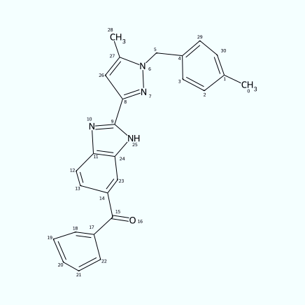 Cc1ccc(Cn2nc(-c3nc4ccc(C(=O)c5ccccc5)cc4[nH]3)cc2C)cc1